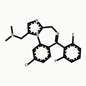 CN(C)Cc1cnc2n1-c1cc(Cl)ccc1C(c1c(F)cccc1F)=NC2